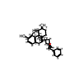 C=C1CC[C@@]2(OCCCc3ccccc3)C3Cc4ccc(O)c5c4[C@@]2(CCN3CC2CC2)[C@H]1O5